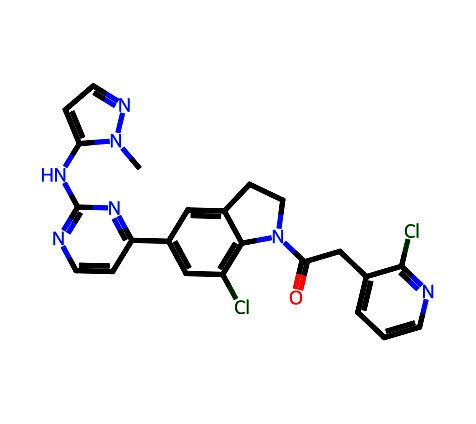 Cn1nccc1Nc1nccc(-c2cc(Cl)c3c(c2)CCN3C(=O)Cc2cccnc2Cl)n1